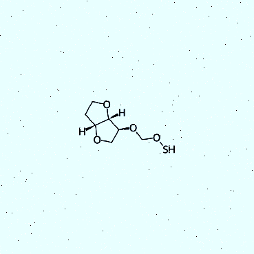 SOCO[C@H]1CO[C@@H]2CCO[C@H]12